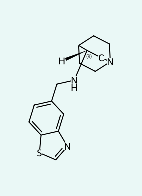 c1nc2cc(CN[C@H]3CN4CCC3CC4)ccc2s1